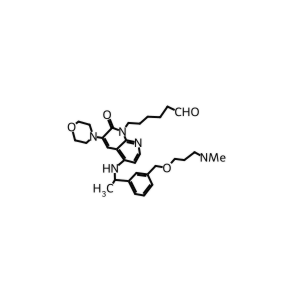 CNCCCOCc1cccc(C(C)Nc2ccnc3c2cc(N2CCOCC2)c(=O)n3CCCCCC=O)c1